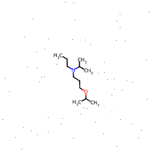 CCCN(CCCOC(C)C)C(C)C